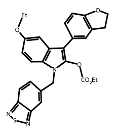 CCOC(=O)Oc1c(-c2ccc3c(c2)CCO3)c2cc(OCC)ccc2n1Cc1ccc2nsnc2c1